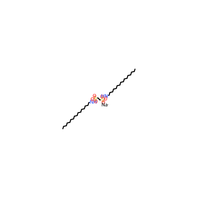 CCCCCCCCCCCCCCCCNOS(=O)(=O)CCS(=O)(=O)ONCCCCCCCCCCCCCCCC.[Na]